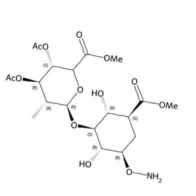 COC(=O)C1O[C@@H](O[C@@H]2[C@@H](O)[C@H](ON)C[C@H](C(=O)OC)[C@H]2O)[C@H](C)[C@@H](OC(C)=O)[C@@H]1OC(C)=O